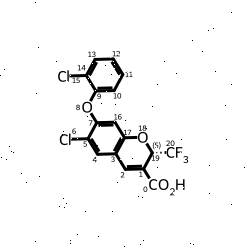 O=C(O)C1=Cc2cc(Cl)c(Oc3ccccc3Cl)cc2O[C@@H]1C(F)(F)F